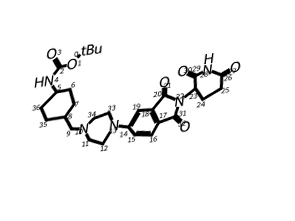 CC(C)(C)OC(=O)NC1CCC(CN2CCN(c3ccc4c(c3)C(=O)N(C3CCC(=O)NC3=O)C4=O)CC2)CC1